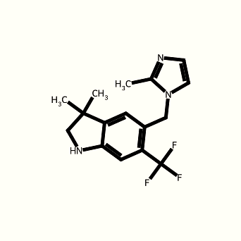 Cc1nccn1Cc1cc2c(cc1C(F)(F)F)NCC2(C)C